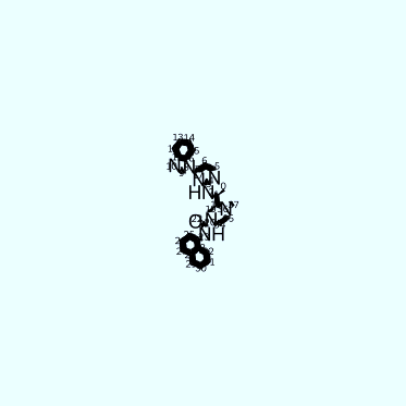 C[C@H](Nc1nccc(-n2cnc3ccccc32)n1)[C@@H]1CN(C(=O)Nc2cccc3ccccc23)CCN1C